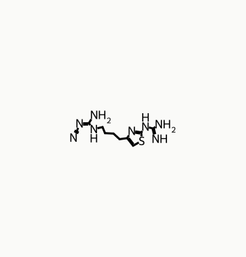 N#C/N=C(/N)NCCCCc1csc(NC(=N)N)n1